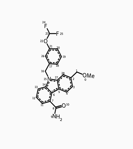 COCc1c[c]c2c3c(C(N)=O)cccc3n(Cc3cccc(OC(F)F)c3)c2c1